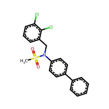 CS(=O)(=O)N(Cc1cccc(Cl)c1Cl)c1ccc(-c2ccccc2)cc1